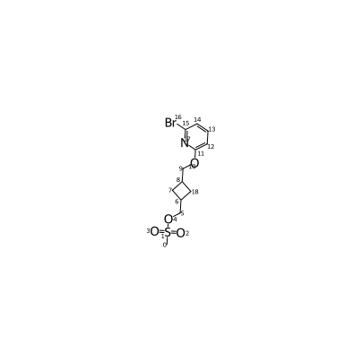 CS(=O)(=O)OCC1CC(COc2cccc(Br)n2)C1